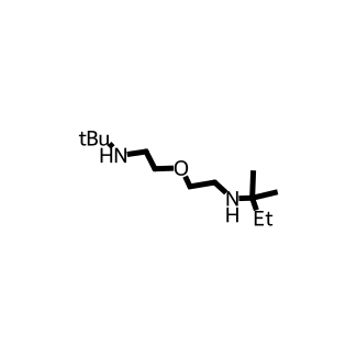 CCC(C)(C)NCCOCCNC(C)(C)C